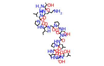 CC[C@H](C)[C@H](NC(=O)[C@@H]1CCCN1C(=O)[C@H](CC(C)C)NC(=O)[C@H](CCCCN)NC(=O)[C@@H](N)[C@@H](C)O)C(=O)NCC(=O)N1CCC[C@H]1C(=O)N[C@@H](CO)C(=O)NCC(=O)N[C@@H](CC(C)C)C(=O)N1CCC[C@H]1C(=O)N[C@H](C(=O)N[C@@H](CO)C(=O)N[C@@H](CC(C)C)C(=O)O)C(C)C